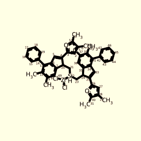 Cc1cc(C2=Cc3c(cc(C)c(C)c3-c3ccccc3)C2C[SiH](CC2C(c3cc(C)c(C)o3)=Cc3c2cc(C)c(C)c3-c2ccccc2)[Zr]([Cl])[Cl])oc1C